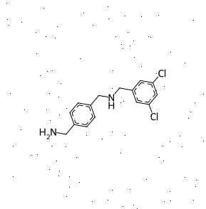 NCc1ccc(CNCc2cc(Cl)cc(Cl)c2)cc1